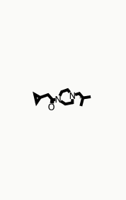 C[C](C)CN1CCN(C(=O)CC2CC2)CC1